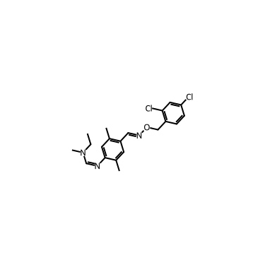 CCN(C)/C=N\c1cc(C)c(/C=N/OCc2ccc(Cl)cc2Cl)cc1C